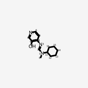 CN(C=Nc1ccncc1O)C1CCCCC1